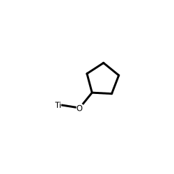 [Ti][O]C1CCCC1